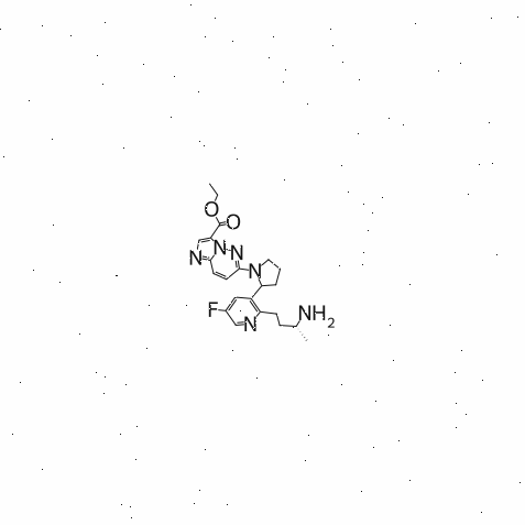 CCOC(=O)c1cnc2ccc(N3CCCC3c3cc(F)cnc3CC[C@@H](C)N)nn12